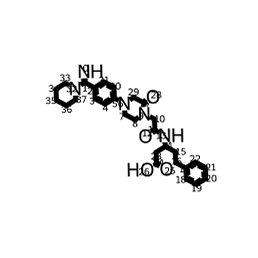 N=C(c1ccc(N2CCN(CC(=O)NC(CCc3ccccc3)CC(=O)O)C(=O)C2)cc1)N1CCCCC1